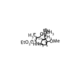 CCOC(=O)[C@@H](Nc1ccc(OC)cc1)[C@@H](C)CO[Si](C)(C)C(C)(C)C